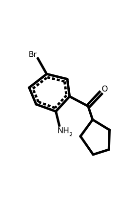 Nc1ccc(Br)cc1C(=O)C1CCCC1